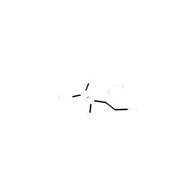 CC(=O)N([C@@H](CS)C(=O)O)[SiH](C)C